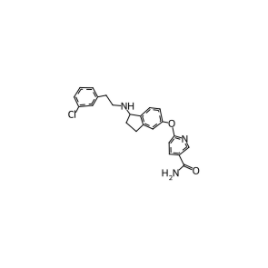 NC(=O)c1ccc(Oc2ccc3c(c2)CCC3NCCc2cccc(Cl)c2)nc1